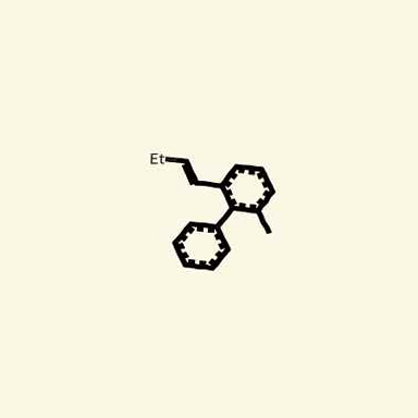 CC/C=C/c1cccc(C)c1-c1ccccc1